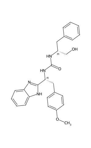 COc1ccc(C[C@@H](NC(=O)N[C@@H](CO)Cc2ccccc2)c2nc3ccccc3[nH]2)cc1